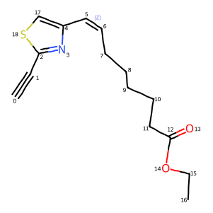 C#Cc1nc(/C=C\CCCCCC(=O)OCC)cs1